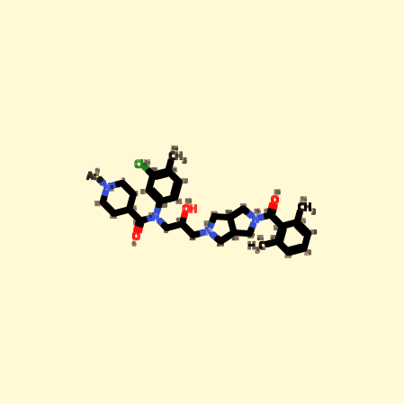 CC(=O)N1CCC(C(=O)N(CC(O)CN2CC3CN(C(=O)c4c(C)cccc4C)CC3C2)c2ccc(C)c(Cl)c2)CC1